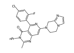 CCCn1c(C)nc2cc(N3CCn4ccnc4C3)nc(-c3ccc(Cl)cc3F)c2c1=O